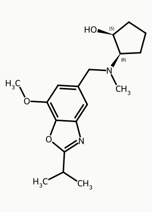 COc1cc(CN(C)[C@@H]2CCC[C@@H]2O)cc2nc(C(C)C)oc12